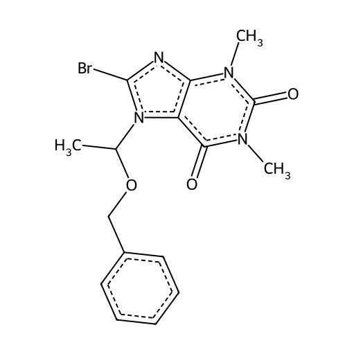 CC(OCc1ccccc1)n1c(Br)nc2c1c(=O)n(C)c(=O)n2C